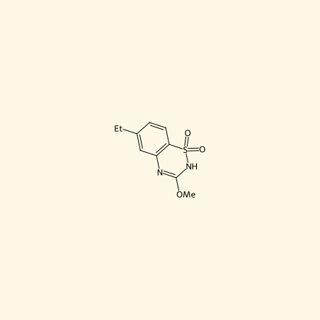 CCc1ccc2c(c1)N=C(OC)NS2(=O)=O